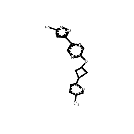 Oc1cc(-c2cnc(OC3CC(c4ccc(C(F)(F)F)cn4)C3)cn2)on1